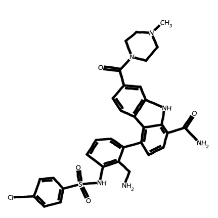 CN1CCN(C(=O)c2ccc3c(c2)[nH]c2c(C(N)=O)ccc(-c4cccc(NS(=O)(=O)c5ccc(Cl)cc5)c4CN)c23)CC1